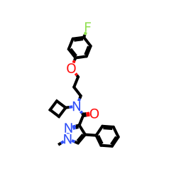 Cn1cc(-c2ccccc2)c(C(=O)N(CCCOc2ccc(F)cc2)C2CCC2)n1